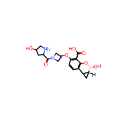 O=C(O)c1c(OC2CN(C(=O)C3CC(O)CN3)C2)ccc2c1OB(O)[C@@H]1CC21